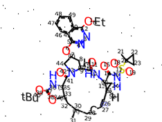 CCOc1nnc(O[C@@H]2C[C@H]3C(=O)N[C@]4(C(=O)NS(=O)(=O)C5(C)CC5)C[C@H]4/C=C\CC[C@@H](C)C[C@@H](C)[C@H](NC(=O)OC(C)(C)C)C(=O)N3C2)c2ccccc12